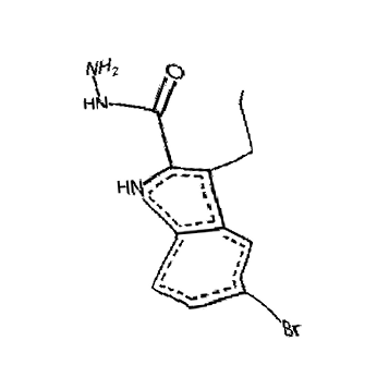 CCc1c(C(=O)NN)[nH]c2ccc(Br)cc12